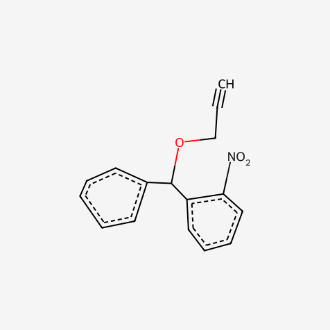 C#CCOC(c1ccccc1)c1ccccc1[N+](=O)[O-]